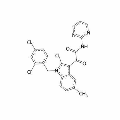 Cc1ccc2c(c1)c(C(=O)C(=O)Nc1ncccn1)c(Cl)n2Cc1ccc(Cl)cc1Cl